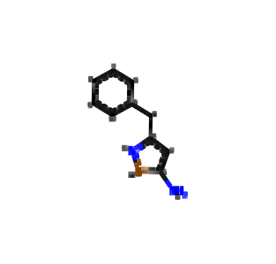 Nc1cc(Cc2ccccc2)ns1